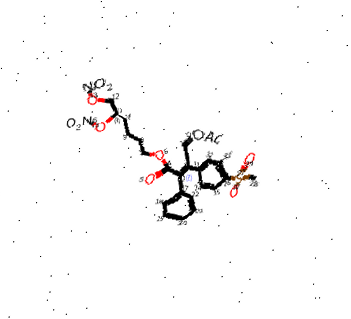 CC(=O)OC/C(=C(\C(=O)OCCCC[C@H](CO[N+](=O)[O-])O[N+](=O)[O-])c1ccccc1)c1ccc(S(C)(=O)=O)cc1